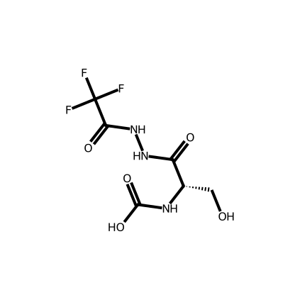 O=C(O)N[C@@H](CO)C(=O)NNC(=O)C(F)(F)F